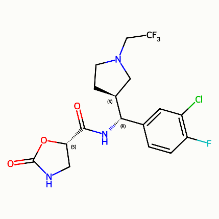 O=C1NC[C@@H](C(=O)N[C@@H](c2ccc(F)c(Cl)c2)[C@H]2CCN(CC(F)(F)F)C2)O1